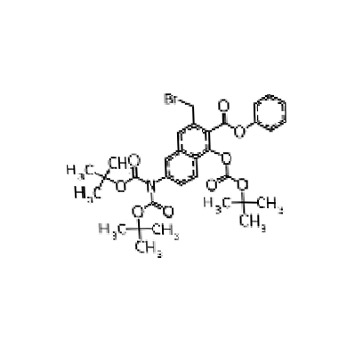 CC(C)(C)OC(=O)Oc1c(C(=O)Oc2ccccc2)c(CBr)cc2cc(N(C(=O)OC(C)(C)C)C(=O)OC(C)(C)C)ccc12